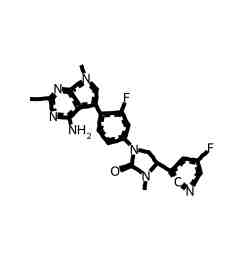 Cc1nc(N)c2c(-c3ccc(N4CC(c5cncc(F)c5)N(C)C4=O)cc3F)cn(C)c2n1